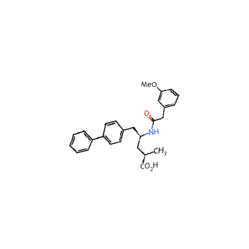 COc1cccc(CC(=O)N[C@H](Cc2ccc(-c3ccccc3)cc2)C[C@@H](C)C(=O)O)c1